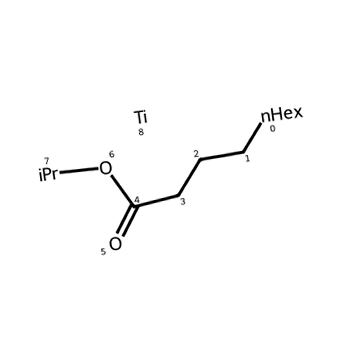 CCCCCCCCCC(=O)OC(C)C.[Ti]